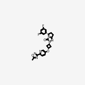 Cc1nc(-c2ccc(O[C@H]3C[C@H](n4nc5n(c4=O)[C@H](c4cc(F)cc(F)c4)CC5)C3)cn2)no1